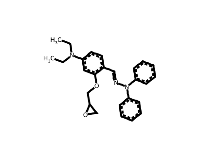 CCN(CC)c1ccc(C=NN(c2ccccc2)c2ccccc2)c(OCC2CO2)c1